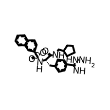 N=C(NN)c1ccc(C[C@H](NS(=O)(=O)c2ccc3ccccc3c2)C(=O)NCC2CCCC2)cc1